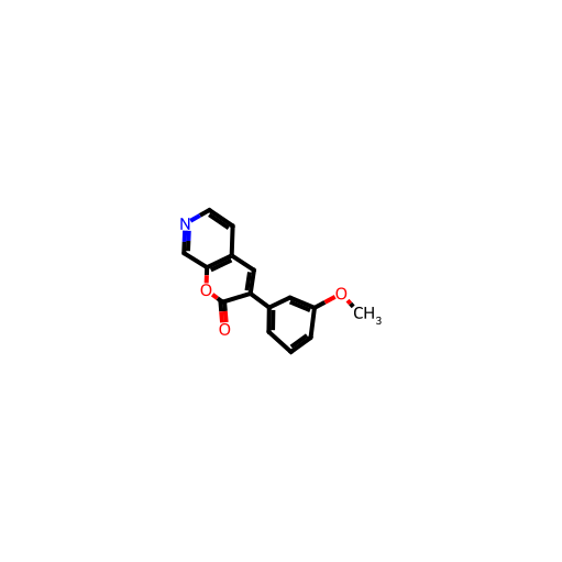 COc1cccc(-c2cc3ccncc3oc2=O)c1